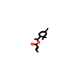 C/C=C/C(=O)OC(C)C1CC=C(C)CC1(C)C